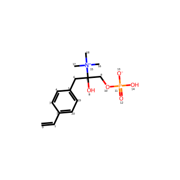 C=Cc1ccc(CC(O)(COP(=O)([O-])O)[N+](C)(C)C)cc1